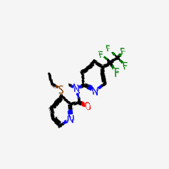 CCSc1cccnc1C(=O)N(C)c1ccc(C(F)(F)C(F)(F)F)cn1